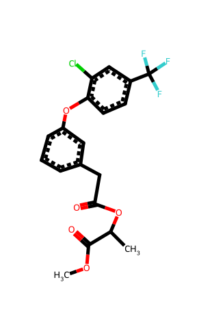 COC(=O)C(C)OC(=O)Cc1cccc(Oc2ccc(C(F)(F)F)cc2Cl)c1